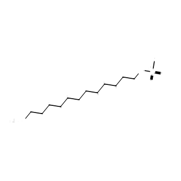 CCCCCCCCCCCCCCCCCCCCCCOS(C)(=O)=O